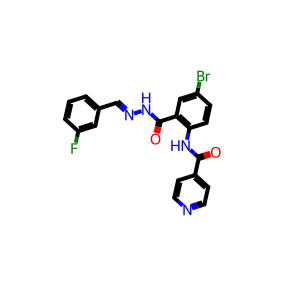 O=C(Nc1ccc(Br)cc1C(=O)NN=Cc1cccc(F)c1)c1ccncc1